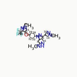 CNc1cc2c(cn1)c(-c1cnn(C)c1)nn2C1CCC(Oc2cn(C)nc2C(F)(F)F)CC1